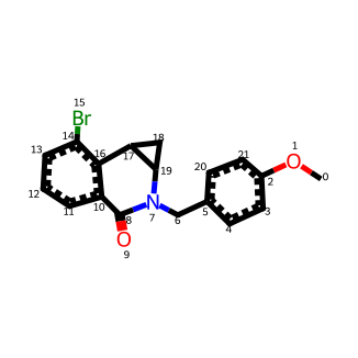 COc1ccc(CN2C(=O)c3cccc(Br)c3C3CC32)cc1